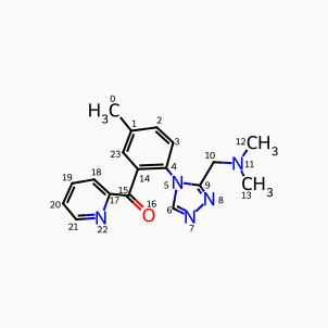 Cc1ccc(-n2cnnc2CN(C)C)c(C(=O)c2ccccn2)c1